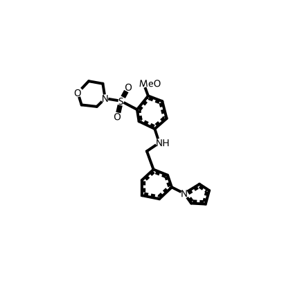 COc1ccc(NCc2cccc(-n3cccc3)c2)cc1S(=O)(=O)N1CCOCC1